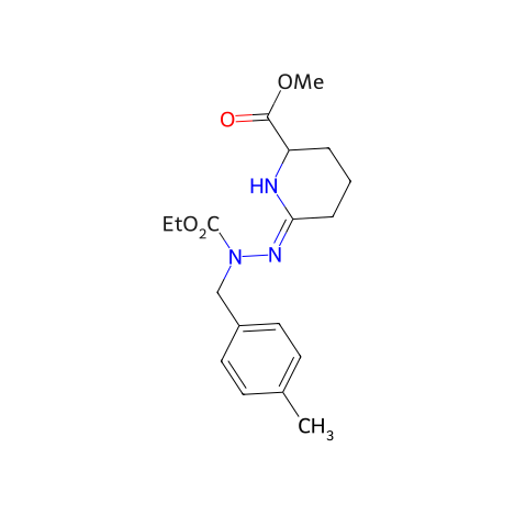 CCOC(=O)N(Cc1ccc(C)cc1)N=C1CCCC(C(=O)OC)N1